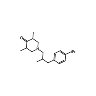 CC(Cc1ccc(C(C)C)cc1)CN1CC(C)C(=O)C(C)C1